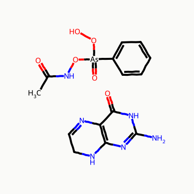 CC(=O)NO[As](=O)(OO)c1ccccc1.Nc1nc2c(c(=O)[nH]1)N=CCN2